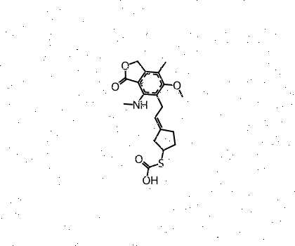 CNc1c(CC=C2CCC(SC(=O)O)C2)c(OC)c(C)c2c1C(=O)OC2